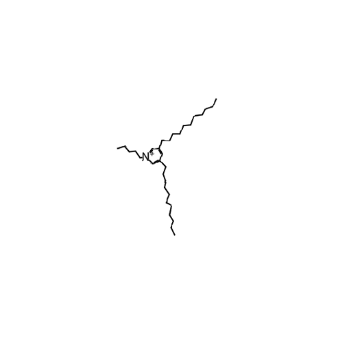 CCCCCCCCCCCc1cc(CCCCCCCCCCC)c[n+](CCCCC)c1